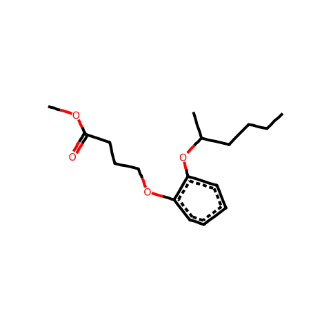 CCCCC(C)Oc1ccccc1OCCCC(=O)OC